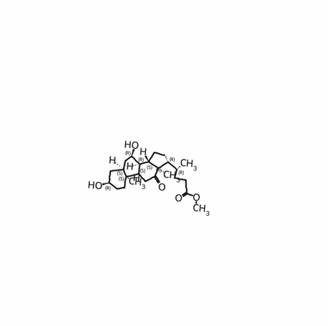 COC(=O)CC[C@@H](C)[C@H]1CC[C@H]2[C@@H]3[C@H](O)C[C@@H]4C[C@H](O)CC[C@]4(C)[C@H]3CC(=O)[C@]12C